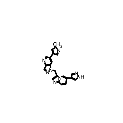 Cn1cc(-c2cnc3cnn(Cc4cnc5ccc(-c6cn[nH]c6)cn45)c3c2)cn1